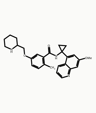 COc1cc(C2(NC(=O)c3cc(OCC4CCCCN4)ccc3C)CC2)c2cccnc2c1